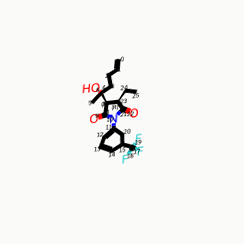 C=CCCC(C)(O)[C@@H]1C(=O)N(C2=CC=CC(C(F)(F)F)C2)C(=O)[C@@H]1CC